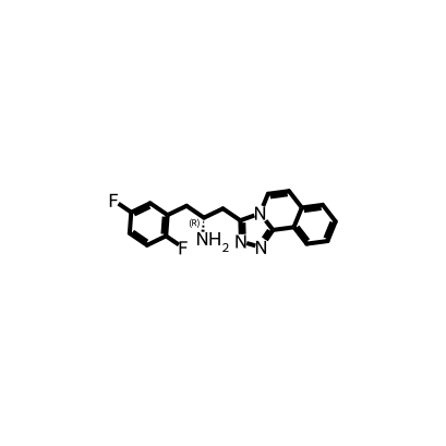 N[C@H](Cc1cc(F)ccc1F)Cc1nnc2c3ccccc3ccn12